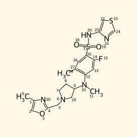 Cc1coc(CN2CCC(N(C)c3cc(F)c(S(=O)(=O)Nc4cscn4)cc3C)C2)n1